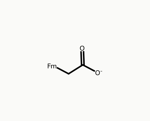 O=C([O-])[CH2][Fm]